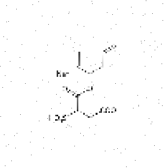 C=CCC(C=C)OC(=O)C(CC(=O)[O-])S(=O)(=O)O.[Na+]